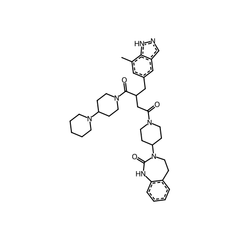 Cc1cc(CC(CC(=O)N2CCC(N3CCc4ccccc4NC3=O)CC2)C(=O)N2CCC(N3CCCCC3)CC2)cc2cn[nH]c12